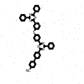 N#Cc1ccc(-c2ccc(-c3nc(-c4ccccc4)nc(-c4ccc(Sc5cccc(-c6nc(-c7ccccc7)nc(-c7ccccc7)n6)c5)cc4)n3)cc2)cc1